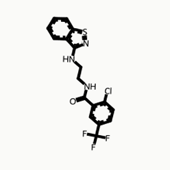 O=C(NCCNc1nsc2ccccc12)c1cc(C(F)(F)F)ccc1Cl